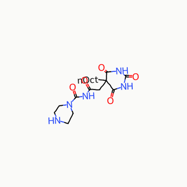 CCCCCCCCC1(CC(=O)NC(=O)N2CCNCC2)C(=O)NC(=O)NC1=O